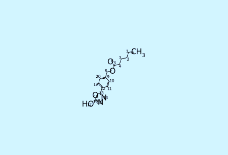 CCCCCC(=O)OCc1ccc(-c2nnc(O)o2)cc1